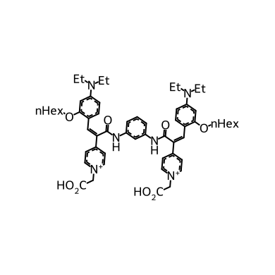 CCCCCCOc1cc(N(CC)CC)ccc1/C=C(\C(=O)Nc1cccc(NC(=O)/C(=C\c2ccc(N(CC)CC)cc2OCCCCCC)c2cc[n+](CC(=O)O)cc2)c1)c1cc[n+](CC(=O)O)cc1